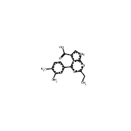 CCc1nc(-c2ccc(C)c(N)c2)c2c(C(=O)O)c[nH]c2n1